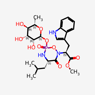 COC(=O)[C@H](Cc1c[nH]c2ccccc12)N1OP(=O)(O[C@@H]2O[C@@H](C)[C@H](O)[C@@H](O)[C@H]2O)N[C@@H](CC(C)C)C1=O